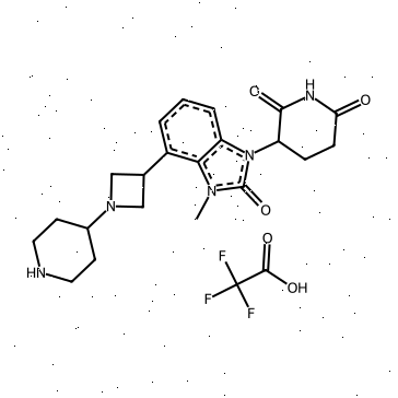 Cn1c(=O)n(C2CCC(=O)NC2=O)c2cccc(C3CN(C4CCNCC4)C3)c21.O=C(O)C(F)(F)F